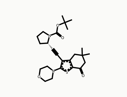 CC1(C)CC(=O)c2sc(N3CCOCC3)c(C#C[C@@H]3CCCN3C(=O)OC(C)(C)C)c2C1